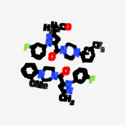 C=O.COc1ccccc1N1CCN(C(=O)c2cc(C)nn2-c2cccc(F)c2)CC1.Cc1cc(C(=O)N2CCN(c3cccc(C(F)(F)F)c3)CC2)n(-c2cccc(F)c2)n1